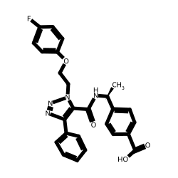 C[C@H](NC(=O)c1c(-c2ccccc2)nnn1CCOc1ccc(F)cc1)c1ccc(C(=O)O)cc1